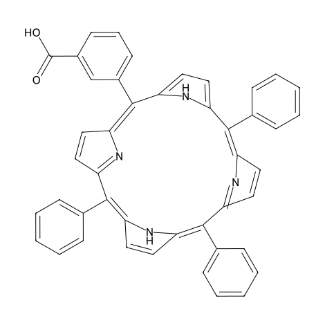 O=C(O)c1cccc(-c2c3nc(c(-c4ccccc4)c4ccc([nH]4)c(-c4ccccc4)c4nc(c(-c5ccccc5)c5ccc2[nH]5)C=C4)C=C3)c1